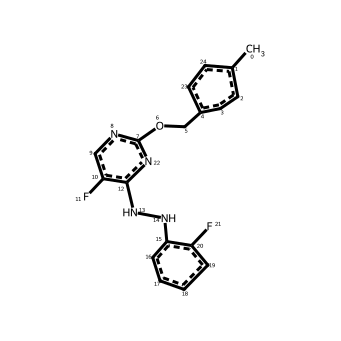 Cc1ccc(COc2ncc(F)c(NNc3ccccc3F)n2)cc1